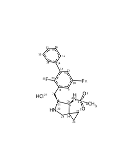 CS(=O)(=O)N[C@@H]1[C@H](Cc2cc(F)cc(-c3ccccc3)c2F)NCC12CC2.Cl